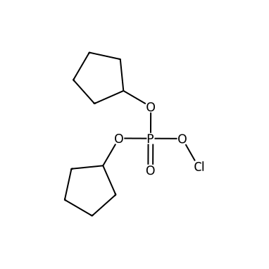 O=P(OCl)(OC1CCCC1)OC1CCCC1